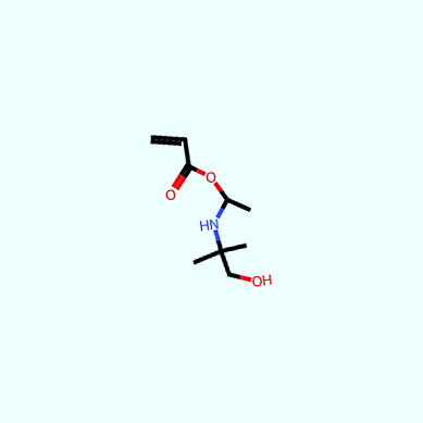 C=CC(=O)OC(C)NC(C)(C)CO